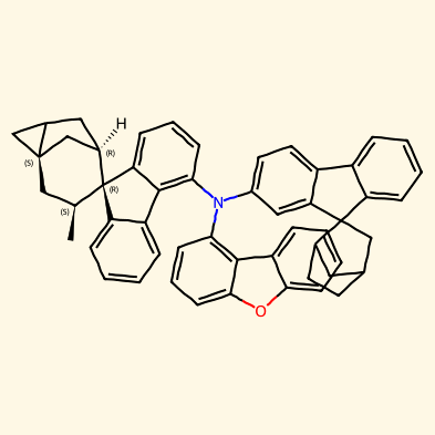 C[C@H]1C[C@@]23CC2C[C@H](C3)[C@@]12c1ccccc1-c1c(N(c3ccc4c(c3)C3(CC5CCC3C5)c3ccccc3-4)c3cccc4oc5ccccc5c34)cccc12